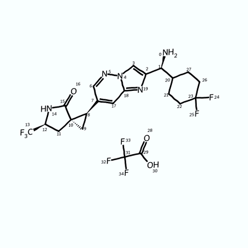 N[C@H](c1cn2ncc([C@H]3C[C@@]34C[C@@H](C(F)(F)F)NC4=O)cc2n1)C1CCC(F)(F)CC1.O=C(O)C(F)(F)F